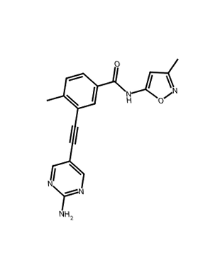 Cc1cc(NC(=O)c2ccc(C)c(C#Cc3cnc(N)nc3)c2)on1